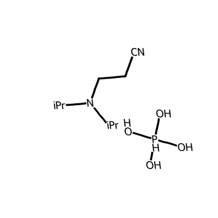 CC(C)N(CCC#N)C(C)C.O[PH](O)(O)O